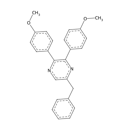 COc1ccc(-c2ncc(Cc3ccccc3)nc2-c2ccc(OC)cc2)cc1